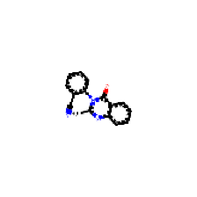 Cc1nc2ccccc2c(=O)n1-c1ccccc1C#N